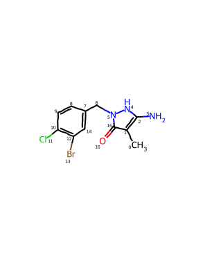 Cc1c(N)[nH]n(Cc2ccc(Cl)c(Br)c2)c1=O